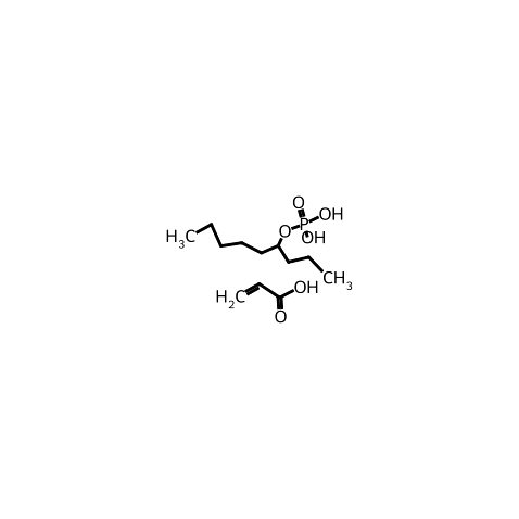 C=CC(=O)O.CCCCCC(CCC)OP(=O)(O)O